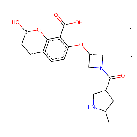 CC1CC(C(=O)N2CC(Oc3ccc4c(c3C(=O)O)OB(O)CC4)C2)CN1